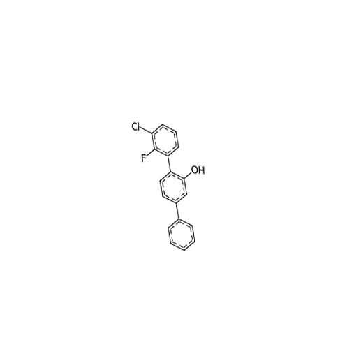 Oc1cc(-c2ccccc2)ccc1-c1cccc(Cl)c1F